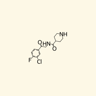 O=C(CNC(=O)C1CCNCC1)c1ccc(F)c(Cl)c1